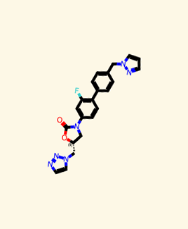 O=C1O[C@@H](Cn2ccnn2)CN1c1ccc(-c2ccc(Cn3cccn3)cc2)c(F)c1